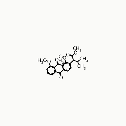 COC(=O)C(c1ccc2c(c1OC)C(=O)c1c(OC)cccc1C2=O)C(C)C